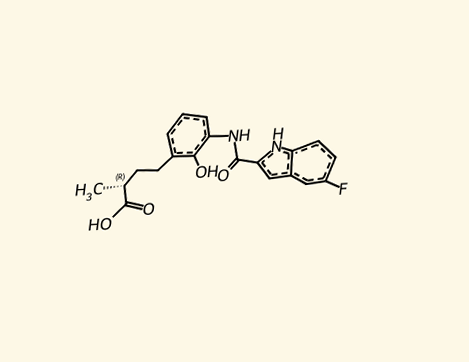 C[C@H](CCc1cccc(NC(=O)c2cc3cc(F)ccc3[nH]2)c1O)C(=O)O